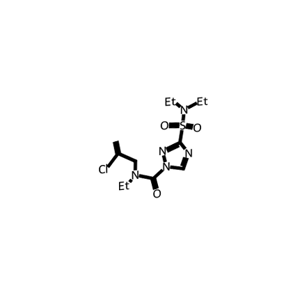 C=C(Cl)CN(CC)C(=O)n1cnc(S(=O)(=O)N(CC)CC)n1